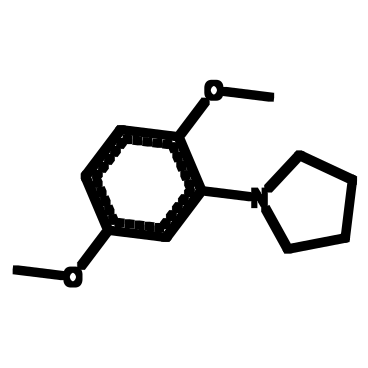 COc1ccc(OC)c(N2CCCC2)c1